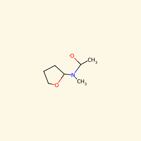 CC([O])N(C)C1CCCO1